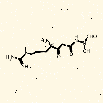 N=C(N)NCCC[C@@H](N)C(=O)CC(=O)NN(O)C=O